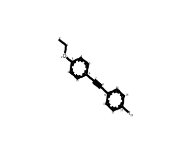 CCOc1ccc(C#Cc2ccc(I)cc2)cc1